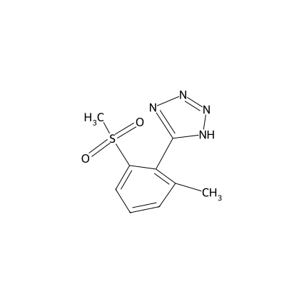 Cc1cccc(S(C)(=O)=O)c1-c1nnn[nH]1